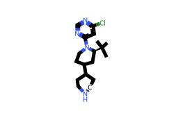 CC(C)(C)[C@H]1CC(C2CCNCC2)CCN1c1cc(Cl)ncn1